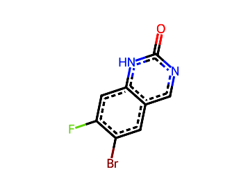 O=c1ncc2cc(Br)c(F)cc2[nH]1